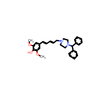 COc1cc(C=CC=CCN2CCN(C(c3ccccc3)c3ccccc3)CC2)cc(OC)c1O